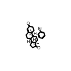 Brc1ccccc1.C[C@]12CCC(=O)C=C1CC[C@@H]1[C@@H]2CC[C@]2(C)C(=O)CC[C@@H]12